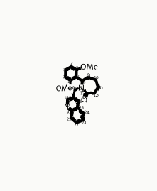 COc1cccc(OC)c1C1CCCCC(=O)N1Cc1cnc2ccccc2c1